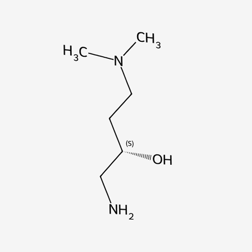 CN(C)CC[C@H](O)CN